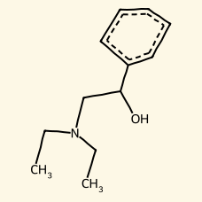 CCN(CC)CC(O)c1ccccc1